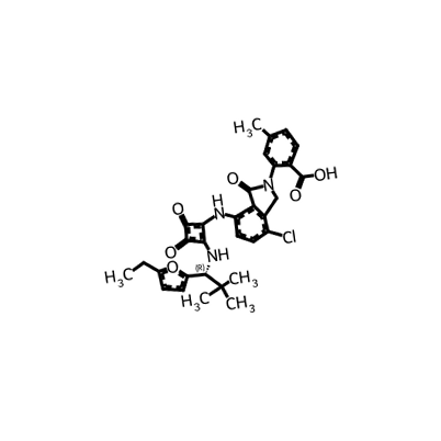 CCc1ccc([C@H](Nc2c(Nc3ccc(Cl)c4c3C(=O)N(c3cc(C)ccc3C(=O)O)C4)c(=O)c2=O)C(C)(C)C)o1